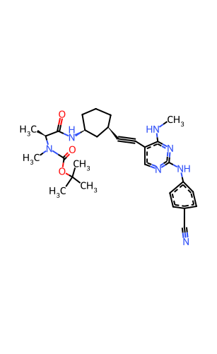 CNc1nc(Nc2ccc(C#N)cc2)ncc1C#C[C@@H]1CCC[C@H](NC(=O)[C@H](C)N(C)C(=O)OC(C)(C)C)C1